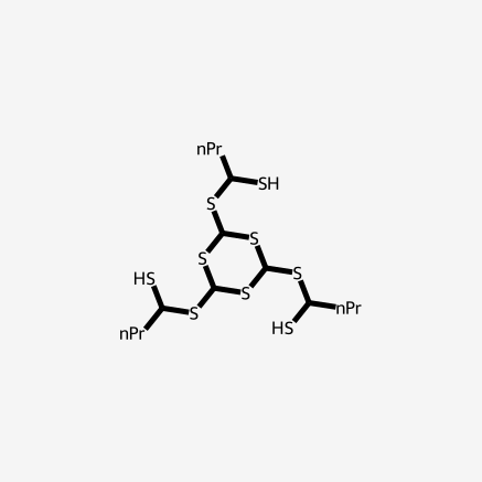 CCCC(S)SC1SC(SC(S)CCC)SC(SC(S)CCC)S1